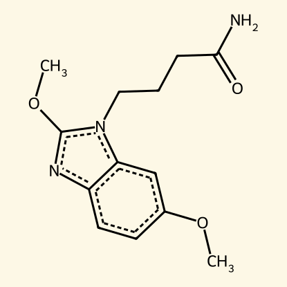 COc1ccc2nc(OC)n(CCCC(N)=O)c2c1